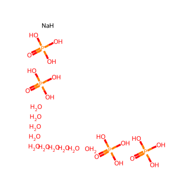 O.O.O.O.O.O.O.O.O.O.O=P(O)(O)O.O=P(O)(O)O.O=P(O)(O)O.O=P(O)(O)O.[NaH]